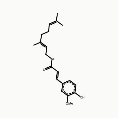 COc1cc(/C=C/C(=O)NC/C=C(\C)CCC=C(C)C)ccc1O